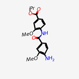 COc1cc(C(=O)Nc2ccc(C(=O)OC(C)C)cc2OC)ccc1N